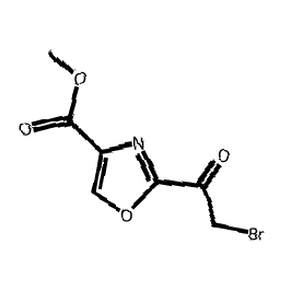 COC(=O)c1coc(C(=O)CBr)n1